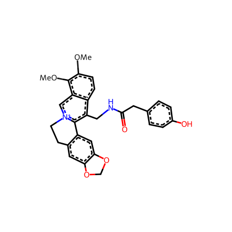 COc1ccc2c(CNC(=O)Cc3ccc(O)cc3)c3[n+](cc2c1OC)CCc1cc2c(cc1-3)OCO2